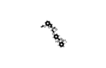 CCOc1cccc2cc(N(C=O)CCOc3ccc(C(=O)Nc4ccccc4N)cc3)oc12